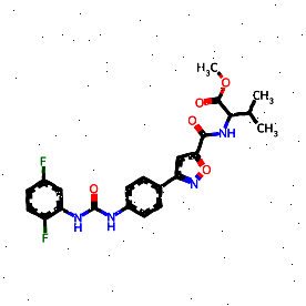 COC(=O)C(NC(=O)c1cc(-c2ccc(NC(=O)Nc3cc(F)ccc3F)cc2)no1)C(C)C